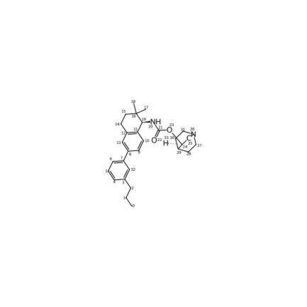 CCCc1cccc(-c2ccc3c(c2)CCC(C)(C)[C@H]3NC(=O)O[C@H]2CN3CCC2CC3)c1